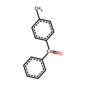 Cc1cc[c]([Co](=[O])[c]2ccccc2)cc1